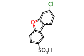 O=S(=O)(O)c1ccc2oc3cc(Cl)ccc3c2c1